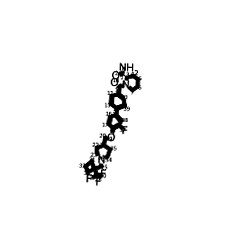 NC(=O)[C@@H]1CCCCN1C(=O)c1ccc(-c2ccc(OCC3CCN(CC4(C(F)(F)F)CCC4)CC3)c(F)c2)cc1